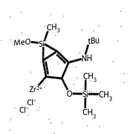 CO[Si]1(C)C2=[C]([Zr+2])C(O[Si](C)(C)C)C(NC(C)(C)C)=C21.[Cl-].[Cl-]